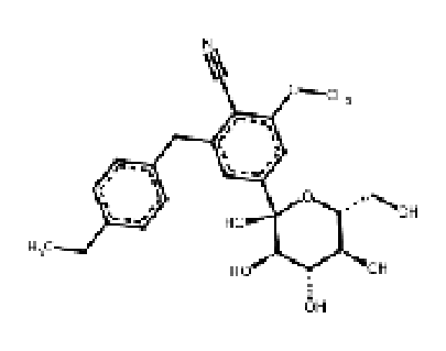 CCc1ccc(Cc2cc([C@]3(O)O[C@H](CO)[C@@H](O)[C@H](O)[C@H]3O)cc(OC)c2C#N)cc1